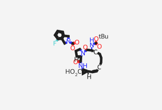 CC(C)(C)OC(=O)N[C@H]1CCCCCC=C[C@@H]2C[C@@]2(C(=O)O)NC(=O)[C@@H]2C[C@@H](OC(=O)N3Cc4cccc(F)c4C3)CN2C1=O